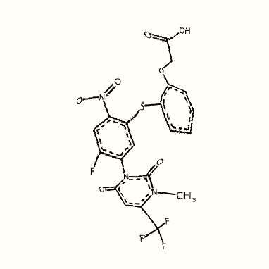 Cn1c(C(F)(F)F)cc(=O)n(-c2cc(Sc3ccccc3OCC(=O)O)c([N+](=O)[O-])cc2F)c1=O